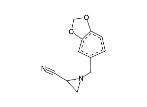 N#CC1CN1Cc1ccc2c(c1)OCO2